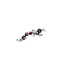 O=C(NC12CC(n3cc(-c4ccc(OC(F)(F)F)cn4)cn3)(C1)C2)[C@@H]1C[C@@H](O)c2cc(C(F)(F)F)ccc2O1